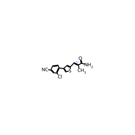 C/C(=C\c1cc(-c2ccc(C#N)cc2Cl)cs1)C(N)=O